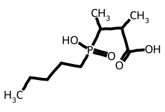 CCCCCP(=O)(O)C(C)C(C)C(=O)O